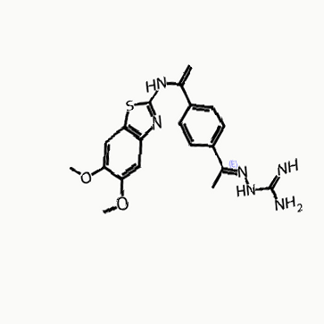 C=C(Nc1nc2cc(OC)c(OC)cc2s1)c1ccc(/C(C)=N/NC(=N)N)cc1